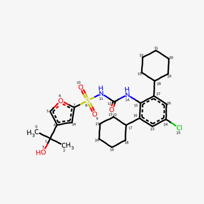 CC(C)(O)c1coc(S(=O)(=O)NC(=O)Nc2c(C3CCCCC3)cc(Cl)cc2C2CCCCC2)c1